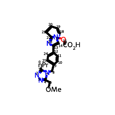 CCCc1nnc(COC)n1Cc1ccc(C2=C[N+]3(OC(=O)O)C=CC=CC3=N2)cc1